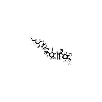 CCCNC1CCc2nc(NC(=O)c3cccc(CNC(=O)c4ccc(OC)c(Cl)c4)c3)sc2C1